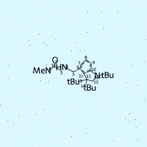 CNC(=O)CNCc1cccc2c1C(C(C)(C)C)(C(C)(C)C)CN2C(C)(C)C